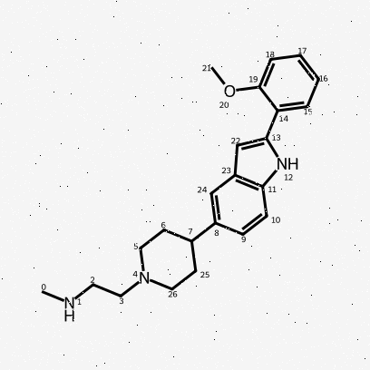 CNCCN1CCC(c2ccc3[nH]c(-c4ccccc4OC)cc3c2)CC1